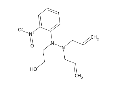 C=CCN(CC=C)N(CCO)c1ccccc1[N+](=O)[O-]